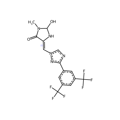 CN1C(=O)/C(=C/n2cnc(-c3cc(C(F)(F)F)cc(C(F)(F)F)c3)n2)NC1O